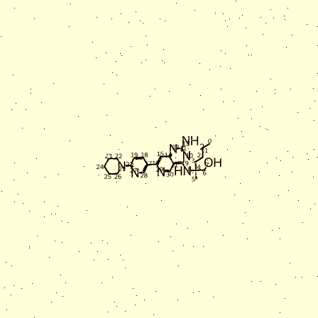 CCCC[C@](C)(CO)Nc1nc(N)nc2cc(-c3ccc(N4CCCCC4)nc3)ncc12